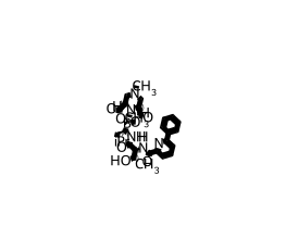 CC(C)C[C@H](NC(=O)[C@@H](NC(=O)c1cccc(-c2ccccc2)n1)[C@@H](C)O)B1OC(=O)[C@@H]2CN(C)C[C@@H](C(=O)O1)N2C